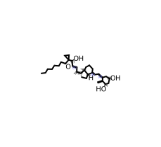 C=C1/C(=C\C=C2/CCC[C@]3(C)[C@@H]([C@H](C)/C=C/[C@H](O)C4(C(=O)CCCCCCC)CC4)CC[C@@H]23)C[C@@H](O)C[C@@H]1O